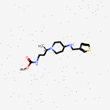 C[C@H](CCNC(=O)OC(C)(C)C)N1CCC(NCc2ccsc2)CC1